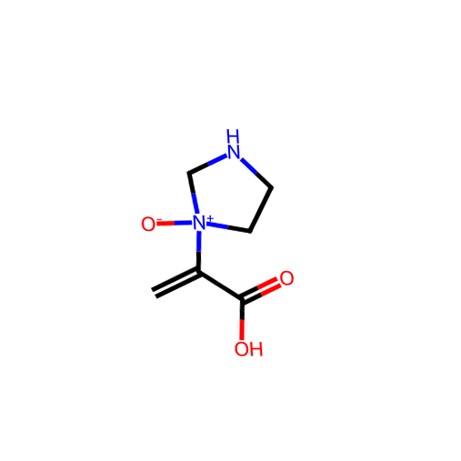 C=C(C(=O)O)[N+]1([O-])CCNC1